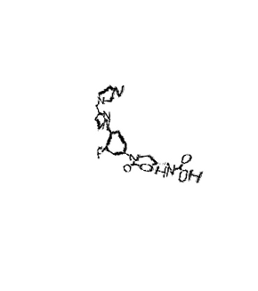 O=C(O)NC[C@H]1CN(c2ccc(-n3ccc(Cn4ccnc4)n3)c(F)c2)C(=O)O1